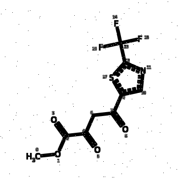 COC(=O)C(=O)CC(=O)c1cnc(C(F)(F)F)s1